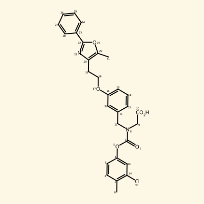 Cc1ccc(OC(=O)N(CC(=O)O)Cc2cccc(OCCc3nc(-c4ccccc4)oc3C)c2)cc1Cl